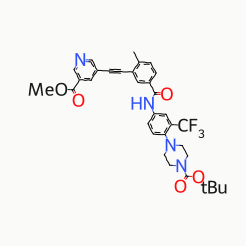 COC(=O)c1cncc(C#Cc2cc(C(=O)Nc3ccc(N4CCN(C(=O)OC(C)(C)C)CC4)c(C(F)(F)F)c3)ccc2C)c1